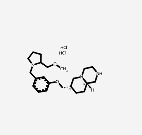 COCC1CCCN1Cc1cccc(OC[C@H]2CC[C@H]3CNCCN3C2)c1.Cl.Cl